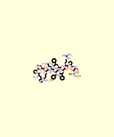 CC[C@H](C)[C@H](NC(=O)[C@H](CO)NC(=O)[C@@H]1CCCN1C(=O)[C@H](CCCNC(=N)N)NC(=O)[C@H](Cc1c[nH]c2ccccc12)NC(=O)[C@H](Cc1c[nH]c2ccccc12)NC(=O)[C@H](Cc1ccc(O)cc1)NC(=O)[C@H](CCC(N)=O)NC(=O)[C@H](CCCCN)NC(=O)[C@H](CC(C)C)NC(=O)[C@@H]1CCCN1C(=O)[C@@H](N)Cc1cnc[nH]1)C(=O)O